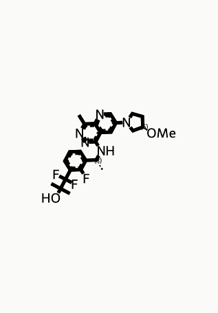 CO[C@H]1CCN(c2cnc3c(C)nnc(N[C@H](C)c4cccc(C(F)(F)C(C)(C)O)c4F)c3c2)C1